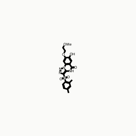 COCCOc1cc2c(cc1O)c(=O)[nH]c1c(S(=O)(=O)c3ccc(C)cc3C)nnn12